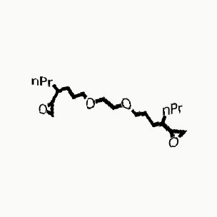 CCCC(CCCOCCOCCCC(CCC)C1CO1)C1CO1